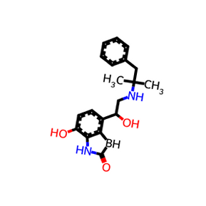 CC(C)(Cc1ccccc1)NCC(O)c1ccc(O)c2c1BC(=O)N2